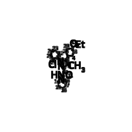 CCOc1ccc([C@H]2[C@@H](C)C(C(=O)NN3CCCCC3)=NN2c2ccccc2Cl)cc1